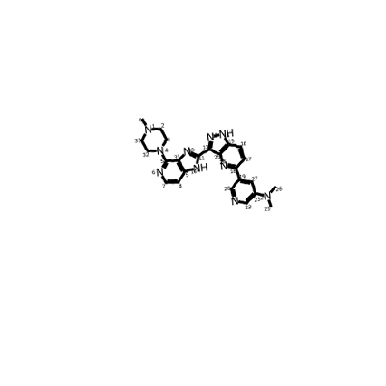 CN1CCN(c2nccc3[nH]c(-c4n[nH]c5ccc(-c6cncc(N(C)C)c6)nc45)nc23)CC1